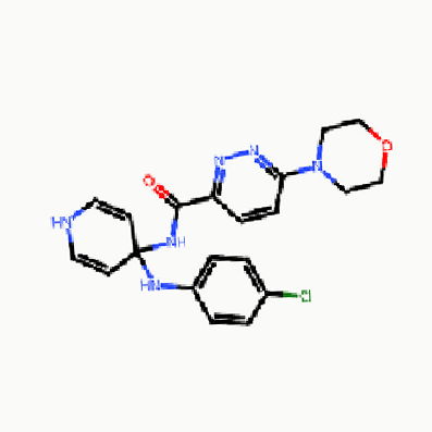 O=C(NC1(Nc2ccc(Cl)cc2)C=CNC=C1)c1ccc(N2CCOCC2)nn1